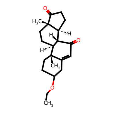 CCOC1CC[C@@]2(C)C(=CC(=O)[C@@H]3[C@@H]2CC[C@]2(C)C(=O)CC[C@@H]32)C1